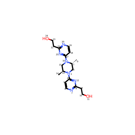 C[C@@H]1CN(c2ccnc(CCO)n2)[C@@H](C)CN1c1ccnc(CCO)n1